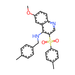 COc1ccc2ncc(S(=O)(=O)c3ccc(C)cc3)c(NCc3ccc(C)cc3)c2c1